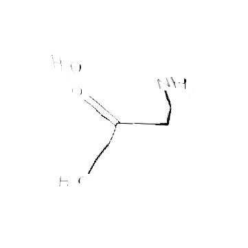 CC(=O)CN.O